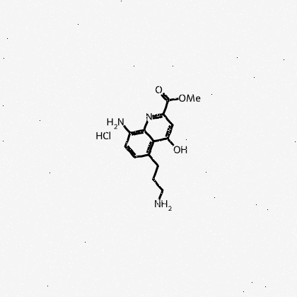 COC(=O)c1cc(O)c2c(CCCN)ccc(N)c2n1.Cl